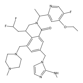 CCOc1cc(C(C)N2CC(CC(F)F)c3c(CN4CCN(C)CC4)cc(Cn4ccnc4NC)cc3C2=O)ncc1F